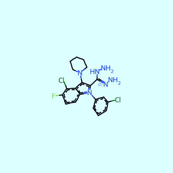 N/N=C(\NN)c1c(N2CCCCC2)c2c(Cl)c(F)ccc2n1-c1cccc(Cl)c1